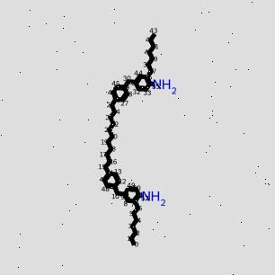 CCCCCCCc1cc(Cc2ccc(CCCCCCCCCCCc3ccc(Cc4ccc(N)c(CCCCCCC)c4)cc3)cc2)ccc1N